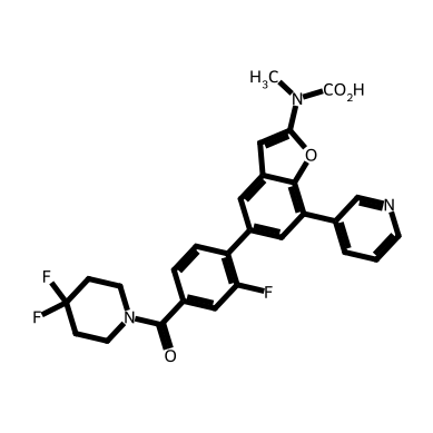 CN(C(=O)O)c1cc2cc(-c3ccc(C(=O)N4CCC(F)(F)CC4)cc3F)cc(-c3cccnc3)c2o1